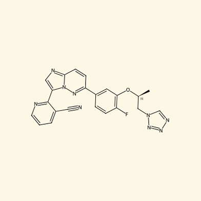 C[C@@H](Cn1cnnn1)Oc1cc(-c2ccc3ncc(-c4ncccc4C#N)n3n2)ccc1F